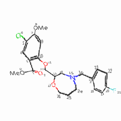 COC(=O)c1cc(Cl)c(OC)cc1OCC1CN(Cc2ccc(F)cc2)CCCO1